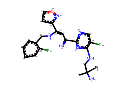 CCC(C)(N)CNc1nc(C(=N)/C=C(\NCc2ccccc2F)c2ccon2)ncc1F